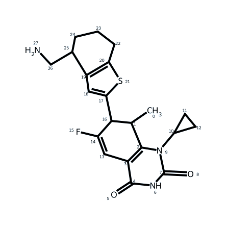 CC1c2c(c(=O)[nH]c(=O)n2C2CC2)C=C(F)C1c1cc2c(s1)CCCC2CN